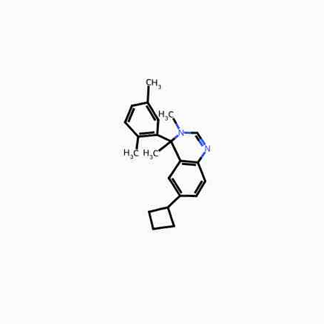 Cc1ccc(C)c(C2(C)c3cc(C4CCC4)ccc3N=CN2C)c1